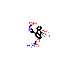 NC(=O)COc1cc(-c2cnn(CCO)c2)c2c(c1)C(O)(C(F)(F)F)c1ccccc1-2